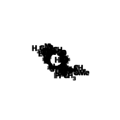 CCn1c(-c2cccnc2[C@H](C)OC)c2c3cc(ccc31)-c1csc(n1)C[C@H](NC(=O)[C@H](C(C)C)N(C)C(=O)N1CC([C@H](C)OC)C1)C(=O)N1CCC[C@H](N1)C(=O)OCC(C)(C)C2